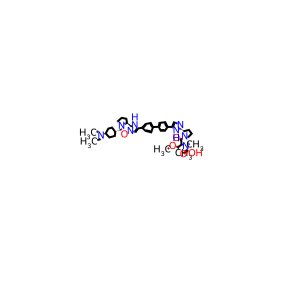 CCN(CC)[C@H]1CC[C@@H](C(=O)N2CCC[C@H]2c2ncc(-c3ccc(-c4ccc(-c5cnc([C@@H]6CCCN6C(=O)[C@H]([C@@H](C)OC)N(C)C(=O)O)[nH]5)cc4)cc3)[nH]2)CC1